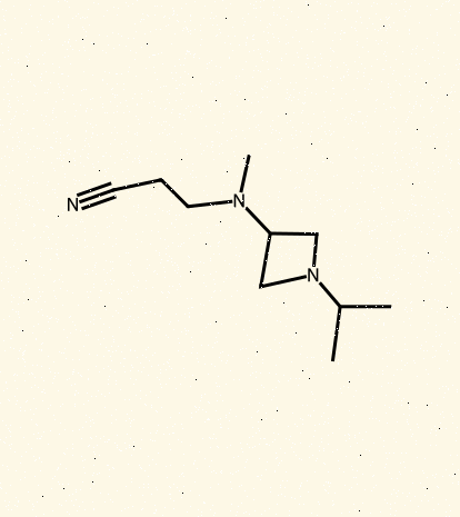 CC(C)N1CC(N(C)CCC#N)C1